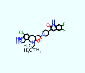 CC(C)(C)CN1Cc2c(cc(Cl)c3c2CNN3)C[C@@H](CC(=O)N2CCC(c3cc4cc(F)c(F)cc4[nH]c3=O)CC2)C1=O